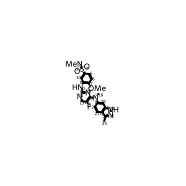 CNS(=O)(=O)c1ccc(OC)c(Nc2ncc(F)c(N(C)c3ccc4c(C)n[nH]c4c3)n2)c1